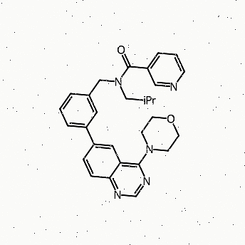 CC(C)CN(Cc1cccc(-c2ccc3ncnc(N4CCOCC4)c3c2)c1)C(=O)c1cccnc1